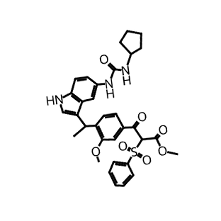 COC(=O)C(C(=O)c1ccc(C(C)c2c[nH]c3ccc(NC(=O)NC4CCCC4)cc23)c(OC)c1)S(=O)(=O)c1ccccc1